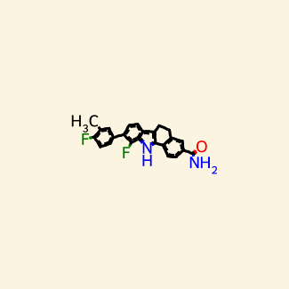 Cc1cc(-c2ccc3c4c([nH]c3c2F)-c2ccc(C(N)=O)cc2CC4)ccc1F